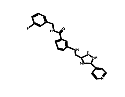 O=C(NCc1cccc(F)c1)c1cccc(NCC2NNC(c3ccncc3)N2)c1